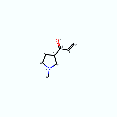 C=CC(=O)C1CCN(C)C1